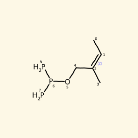 C/C=C(/C)COP(P)P